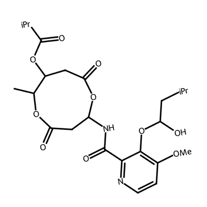 COc1ccnc(C(=O)NC2CC(=O)OC(C)C(OC(=O)C(C)C)CC(=O)O2)c1OC(O)CC(C)C